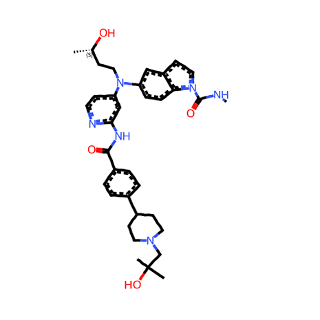 CNC(=O)n1ccc2cc(N(CC[C@H](C)O)c3ccnc(NC(=O)c4ccc(C5CCN(CC(C)(C)O)CC5)cc4)c3)ccc21